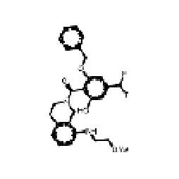 COCCNc1cccc2c1CN(C(=O)c1c(O)cc(C(F)F)cc1OCc1ccccc1)CC2